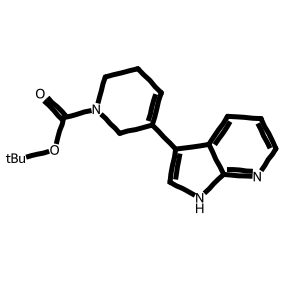 CC(C)(C)OC(=O)N1CCC=C(c2c[nH]c3ncccc23)C1